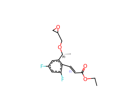 CCOC(=O)/C=C/c1c(F)cc(F)cc1[C@@H](C)OCC1CO1